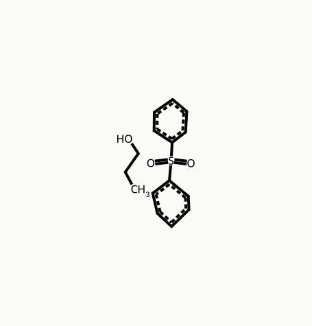 CCCO.O=S(=O)(c1ccccc1)c1ccccc1